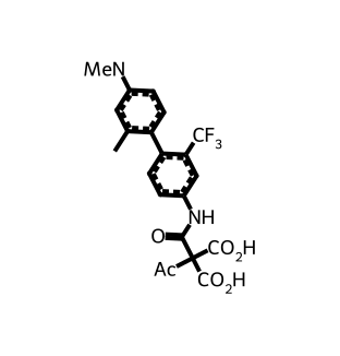 CNc1ccc(-c2ccc(NC(=O)C(C(C)=O)(C(=O)O)C(=O)O)cc2C(F)(F)F)c(C)c1